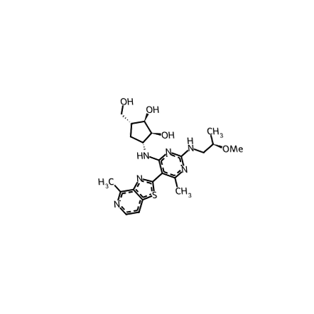 CO[C@H](C)CNc1nc(C)c(-c2nc3c(C)nccc3s2)c(N[C@@H]2C[C@H](CO)[C@@H](O)[C@H]2O)n1